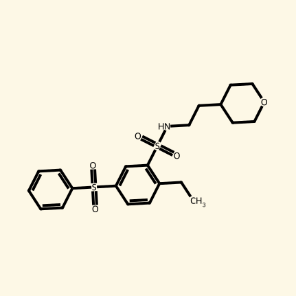 CCc1ccc(S(=O)(=O)c2ccccc2)cc1S(=O)(=O)NCCC1CCOCC1